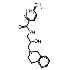 C=C/C=C\C(=N/C)C(=O)NCC(O)CN1CCc2ccccc2C1